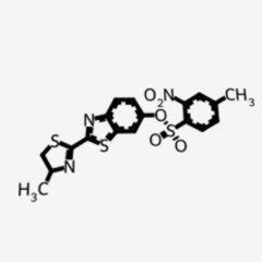 Cc1ccc(S(=O)(=O)Oc2ccc3nc(C4=NC(C)CS4)sc3c2)c([N+](=O)[O-])c1